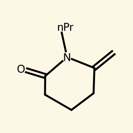 C=C1CCCC(=O)N1CCC